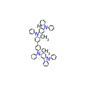 CC1C=c2c(c3ccccc3n2-c2ccccc2)=CC1N(C1=CCCC=C1)c1ccc(C2=CC(C)C(N(c3ccccc3)c3ccc4c(c3)[C@@H]3C=CC=CC3N4c3ccccc3)C=C2)cc1